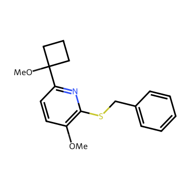 COc1ccc(C2(OC)CCC2)nc1SCc1ccccc1